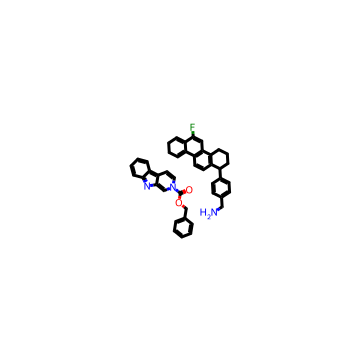 NCc1ccc(C2CCCc3c2ccc2c4c(c(F)cc32)=CCCC=4)cc1.O=C(OCc1ccccc1)n1ccc2c3ccccc3nc-2c1